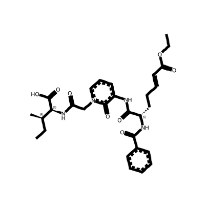 CCOC(=O)C=CCC[C@H](NC(=O)c1ccccc1)C(=O)Nc1cccn(CC(=O)N[C@H](C(=O)O)[C@H](C)CC)c1=O